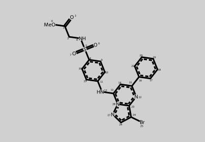 COC(=O)CNS(=O)(=O)c1ccc(Nc2cc(-c3ccccc3)nc3c(Br)cnn23)cc1